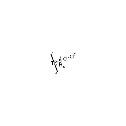 [CH3][Ti+2][CH3].[Cl-].[Cl-].[SiH4]